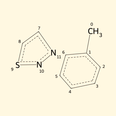 Cc1ccccc1.c1csnn1